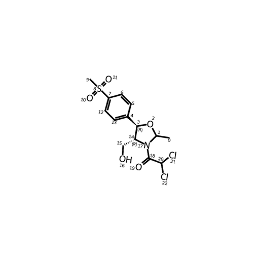 CC1O[C@H](c2ccc(S(C)(=O)=O)cc2)[C@@H](CO)N1C(=O)C(Cl)Cl